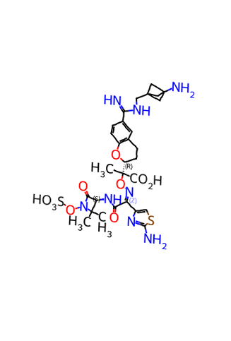 CC(O/N=C(\C(=O)N[C@@H]1C(=O)N(OS(=O)(=O)O)C1(C)C)c1csc(N)n1)(C(=O)O)[C@H]1CCc2cc(C(=N)NCC34CC(N)(C3)C4)ccc2O1